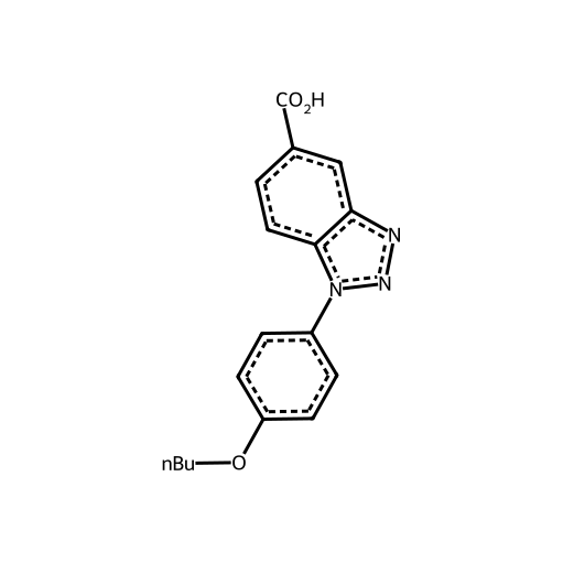 CCCCOc1ccc(-n2nnc3cc(C(=O)O)ccc32)cc1